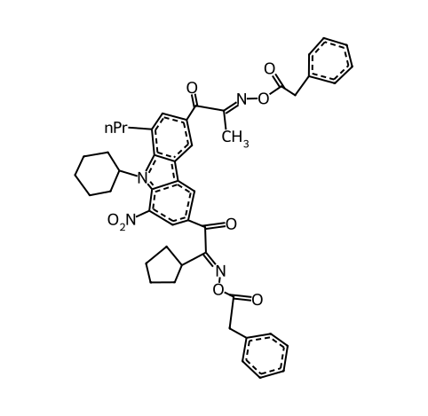 CCCc1cc(C(=O)/C(C)=N/OC(=O)Cc2ccccc2)cc2c3cc(C(=O)/C(=N/OC(=O)Cc4ccccc4)C4CCCC4)cc([N+](=O)[O-])c3n(C3CCCCC3)c12